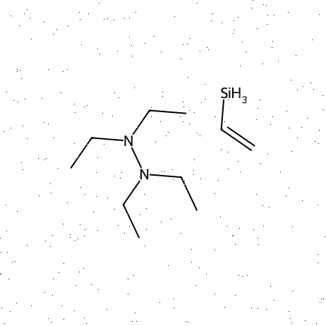 C=C[SiH3].CCN(CC)N(CC)CC